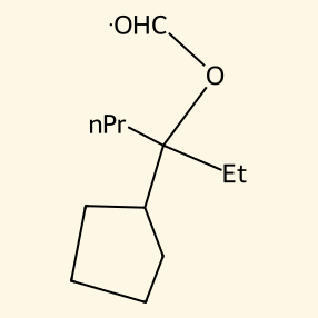 CCCC(CC)(O[C]=O)C1CCCC1